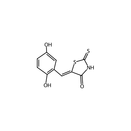 O=C1NC(=S)S/C1=C\c1cc(O)ccc1O